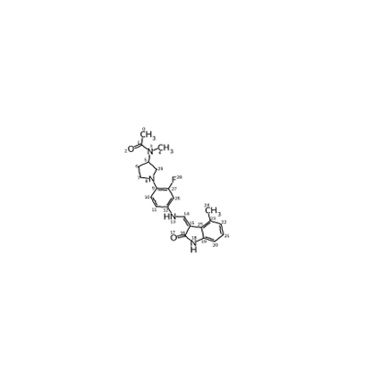 CC(=O)N(C)C1CCN(c2ccc(NC=C3C(=O)Nc4cccc(C)c43)cc2F)C1